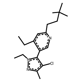 CCc1cc(CCC(C)(C)C)ncc1-c1c(Cl)c(C)nn1CC